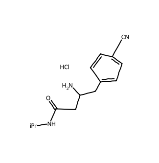 CC(C)NC(=O)CC(N)Cc1ccc(C#N)cc1.Cl